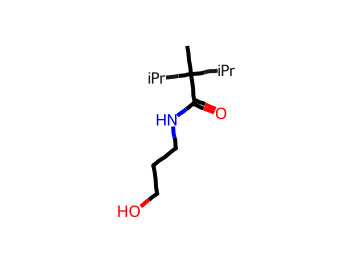 CC(C)C(C)(C(=O)NCCCO)C(C)C